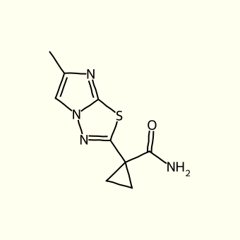 Cc1cn2nc(C3(C(N)=O)CC3)sc2n1